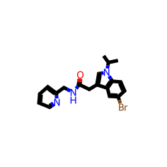 CC(C)n1cc(CC(=O)NCc2ccccn2)c2cc(Br)ccc21